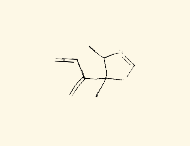 C=CC(=C)C1(C)SC=NC1C